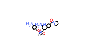 CCCN(OCc1ccc(N)cc1)C(=O)C1=Cc2ccc(C(=O)N3CCCCC3)cc2N=C(N)C1